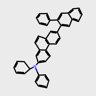 C1=CCC(N(c2ccccc2)c2ccc3c(ccc4cc(-c5cc6ccccc6cc5-c5ccccc5)ccc43)c2)C=C1